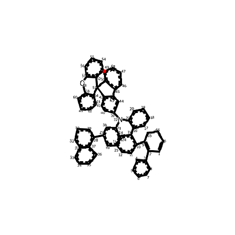 C1=CC(c2ccccc2)=C(c2ccccc2-c2ccccc2N(c2cccc(-c3cccc4ccccc34)c2)c2ccc3c(c2)-c2ccccc2C32c3ccccc3Oc3ccccc32)CC1